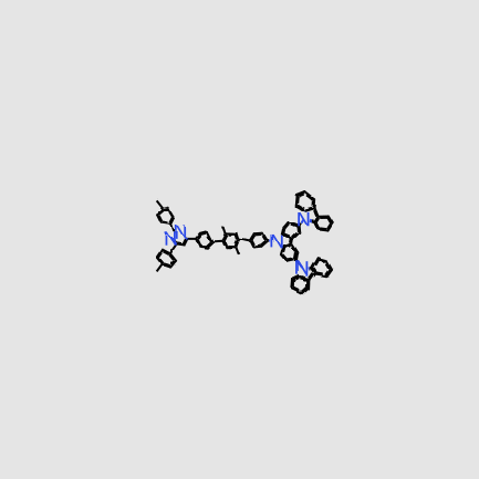 Cc1ccc(-c2cc(-c3ccc(-c4cc(C)c(-c5ccc(-n6c7ccc(-n8c9ccccc9c9ccccc98)cc7c7cc(-n8c9ccccc9c9ccccc98)ccc76)cc5)cc4C)cc3)nc(-c3ccc(C)cc3)n2)cc1